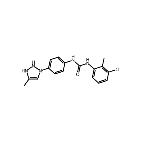 CC1=CN(c2ccc(NC(=O)Nc3cccc(Cl)c3C)cc2)NN1